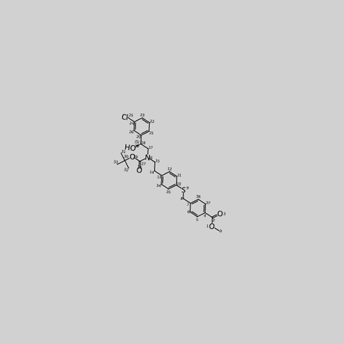 COC(=O)c1ccc(CSc2ccc(CCN(C[C@@H](O)c3cccc(Cl)c3)C(=O)OC(C)(C)C)cc2)cc1